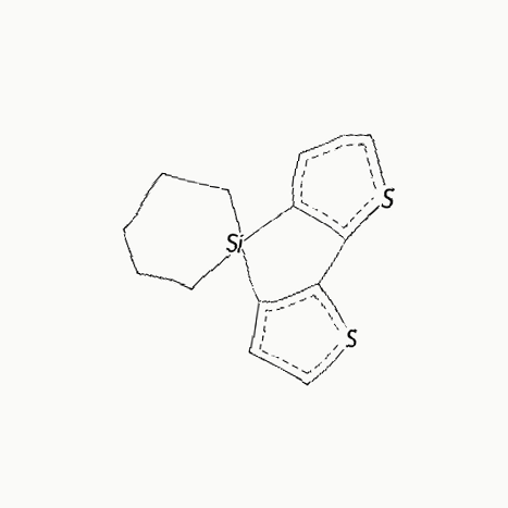 c1cc2c(s1)-c1sccc1[Si]21CCCCC1